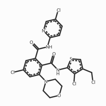 O=C(Nc1ccc(Cl)cn1)c1cc(Cl)cc(N2CCOCC2)c1C(=O)Nc1scc(CCl)c1Cl